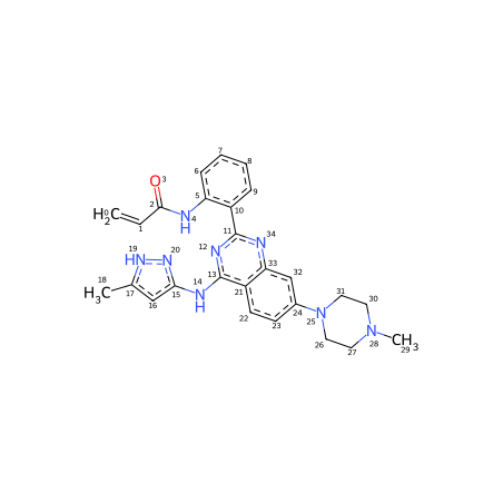 C=CC(=O)Nc1ccccc1-c1nc(Nc2cc(C)[nH]n2)c2ccc(N3CCN(C)CC3)cc2n1